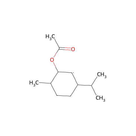 CC(=O)OC1[CH]C(C(C)C)CCC1C